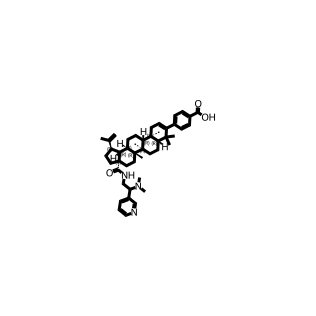 C=C(C)[C@@H]1CC[C@]2(C(=O)NCC(c3cccnc3)N(C)C)CC[C@]3(C)[C@H](CC[C@@H]4[C@@]5(C)CC=C(c6ccc(C(=O)O)cc6)C(C)(C)[C@@H]5CC[C@]43C)[C@@H]12